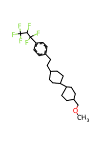 COCC1CCC(C2CCC(CCc3ccc(C(F)(F)C(F)C(F)(F)F)cc3)CC2)CC1